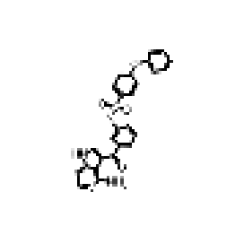 Nc1ncnc2[nH]cc(C(=O)c3cccc(NS(=O)(=O)c4ccc(Oc5ccccc5)cc4)c3)c12